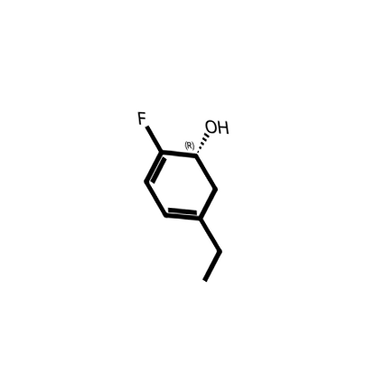 CCC1=CC=C(F)[C@H](O)C1